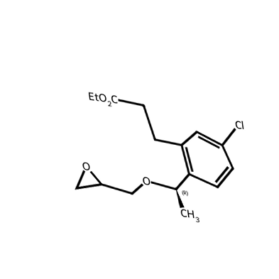 CCOC(=O)CCc1cc(Cl)ccc1[C@@H](C)OCC1CO1